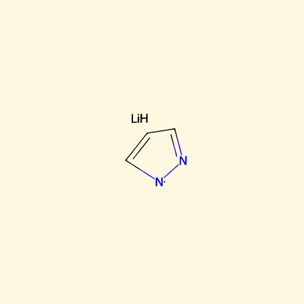 C1=C[N]N=C1.[LiH]